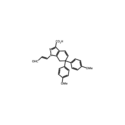 COc1ccc(C2(c3ccc(OC)cc3)C=Cc3c(C(=O)O)nn(C=CC=O)c3C2)cc1